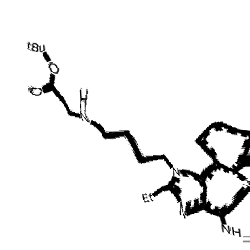 CCc1nc2c(N)nc3ccccc3c2n1CCCCNCC(=O)OC(C)(C)C